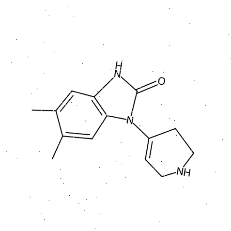 Cc1cc2[nH]c(=O)n(C3=CCNCC3)c2cc1C